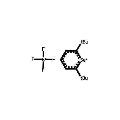 CC(C)(C)c1cccc(C(C)(C)C)[se+]1.F[B-](F)(F)F